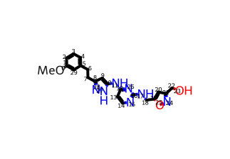 COc1cccc(CCc2cc(Nc3ccnc(NCc4cc(CO)no4)n3)[nH]n2)c1